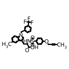 CC#CCOc1ccc(S(=O)(=O)NC(Cc2cn(Cc3cccc(C(F)(F)F)c3)c3ccc(C)cc23)C(=O)O)cc1